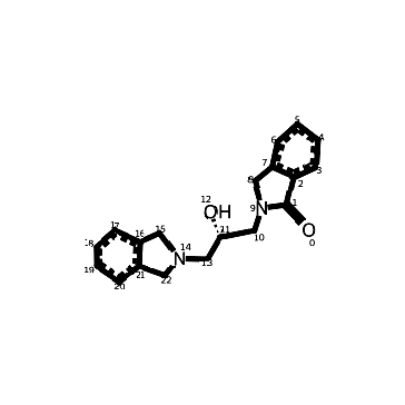 O=C1c2ccccc2CN1C[C@@H](O)CN1Cc2ccccc2C1